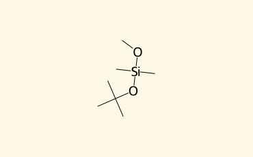 CO[Si](C)(C)OC(C)(C)C